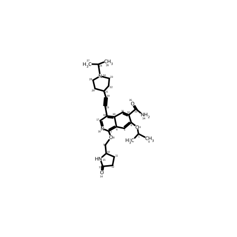 CC(C)Oc1cc2c(OCC3CCC(=O)N3)ncc(C#CC3CCN(C(C)C)CC3)c2cc1C(N)=O